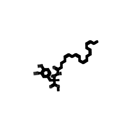 CC/C=C\C/C=C\C/C=C\C/C=C\C/C=C\CCCC(=O)NN[C@@](C)(Cc1ccc(O)c(O)c1)C(=O)OC